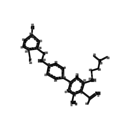 CC(=N)c1c(N)nc(-c2ccc(NSc3cc(Cl)ccc3F)cc2)nc1NCCN(C)C